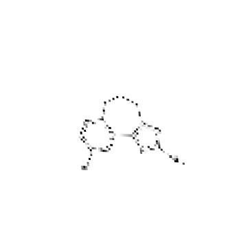 Nc1nc2c(s1)CCCc1ccc(Br)cc1-2